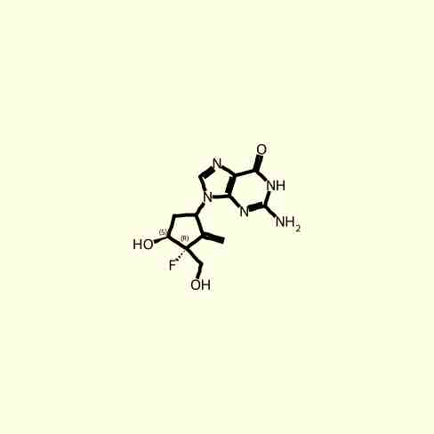 C=C1C(n2cnc3c(=O)[nH]c(N)nc32)C[C@H](O)[C@]1(F)CO